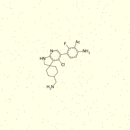 CC(=O)c1c(N)ccc(-c2cnc3c(c2Cl)C2(CCC(CN)CC2)CN3)c1F